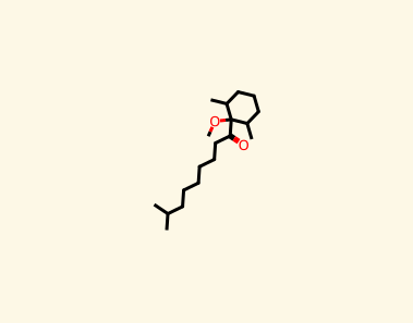 COC1(C(=O)CCCCCCC(C)C)C(C)CCCC1C